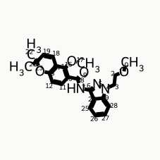 COCCn1nc(NC(=O)c2ccc3c(c2OC)C=CC(C)(C)O3)c2ccccc21